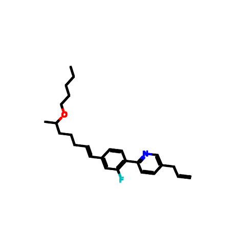 C=CCc1ccc(-c2ccc(/C=C/CCCC(C)OCCCCC)cc2F)nc1